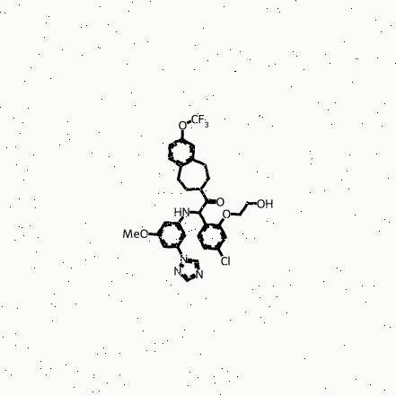 COc1cc(NC(C(=O)C2CCc3ccc(OC(F)(F)F)cc3CC2)c2ccc(Cl)cc2OCCO)cc(-n2cncn2)c1